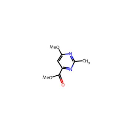 COC(=O)c1cc(OC)nc(C)n1